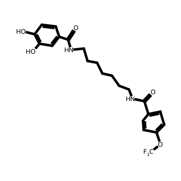 O=C(NCCCCCCCNC(=O)c1ccc(O)c(O)c1)c1ccc(OC(F)(F)F)cc1